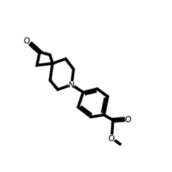 COC(=O)c1ccc(N2CCC3(CC2)CC(=O)C3)cc1